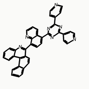 c1ccc2c(c1)ccc1c(-c3ccc(-c4nc(-c5ccncc5)nc(-c5ccncc5)n4)c4cccnc34)nc3ccccc3c12